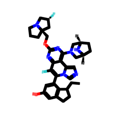 CCC1CCc2cc(O)cc(-c3c(F)c4nc(OC[C@@]56CCCN5C[C@H](F)C6)nc(N5C[C@H]6CC[C@@H](C5)N6)c4c4cncn34)c21